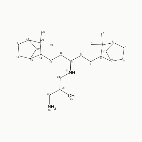 CC1(C)C2CCC(C2)C1CCC(CCC1C2CCC(C2)C1(C)C)NCC(O)CN